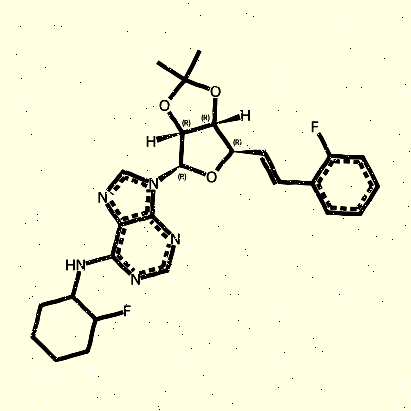 CC1(C)O[C@@H]2[C@H](O1)[C@@H](C=Cc1ccccc1F)O[C@H]2n1cnc2c(NC3CCCCC3F)ncnc21